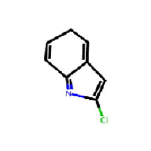 ClC1=CC2=CCC=CC2=N1